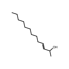 CCCCCCCCC/C=C/C(C)O